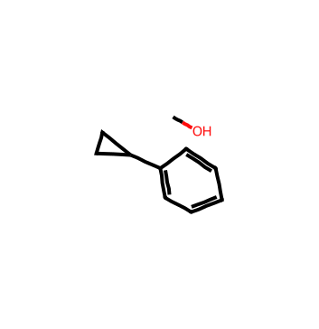 CO.c1ccc(C2CC2)cc1